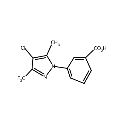 Cc1c(Cl)c(C(F)(F)F)nn1-c1cccc(C(=O)O)c1